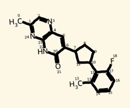 Cc1cnc2cc(C3CCC(c4c(C)cccc4F)C3)c(=O)[nH]c2n1